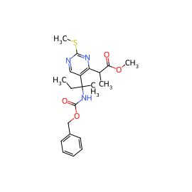 CCC(C)(NC(=O)OCc1ccccc1)c1cnc(SC)nc1C(C)C(=O)OC